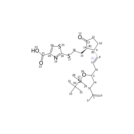 C=C(C)CCC(C/C=C/[C@H]1CCC(=O)[C@@H]1CCSc1nc(C(=O)O)cs1)O[Si](C)(C)C(C)(C)C